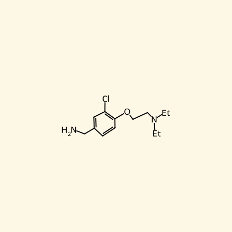 CCN(CC)CCOc1ccc(CN)cc1Cl